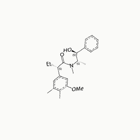 CC[C@H](C(=O)N(C)[C@@H](C)[C@@H](O)c1ccccc1)c1cc(C)c(C)c(OC)c1